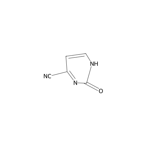 N#Cc1cc[nH]c(=O)n1